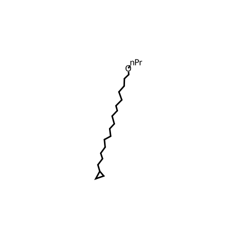 CCCOCCCCCCCCCCCCCCCCC1CC1